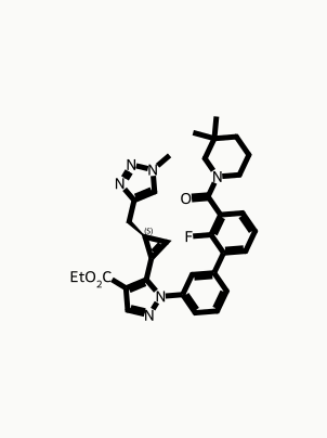 CCOC(=O)c1cnn(-c2cccc(-c3cccc(C(=O)N4CCCC(C)(C)C4)c3F)c2)c1C1=C[C@@H]1Cc1cn(C)nn1